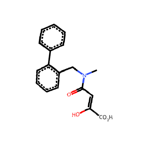 CN(Cc1ccccc1-c1ccccc1)C(=O)C=C(O)C(=O)O